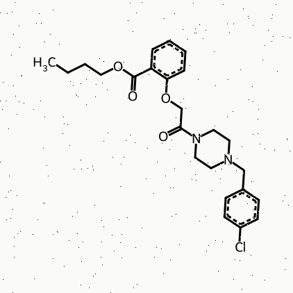 CCCCOC(=O)c1ccccc1OCC(=O)N1CCN(Cc2ccc(Cl)cc2)CC1